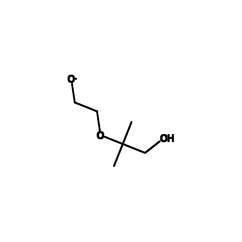 CC(C)(CO)OCC[O]